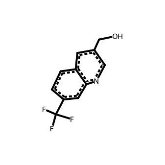 OCc1cnc2cc(C(F)(F)F)ccc2c1